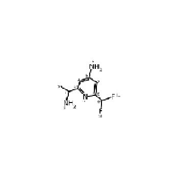 CC(N)c1cc(N)cc(C(F)F)n1